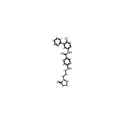 O=C(Nc1ccc(Cl)c(-c2ccccn2)c1)c1ccc(NCCCN2CCCC2=O)nc1